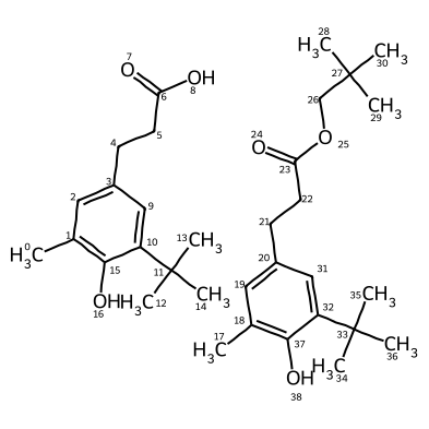 Cc1cc(CCC(=O)O)cc(C(C)(C)C)c1O.Cc1cc(CCC(=O)OCC(C)(C)C)cc(C(C)(C)C)c1O